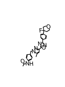 CC(=O)Nc1ccc(Cn2nc(-c3nc(-c4ccc(C5(F)CCOCC5)cc4)no3)cc2C)cc1